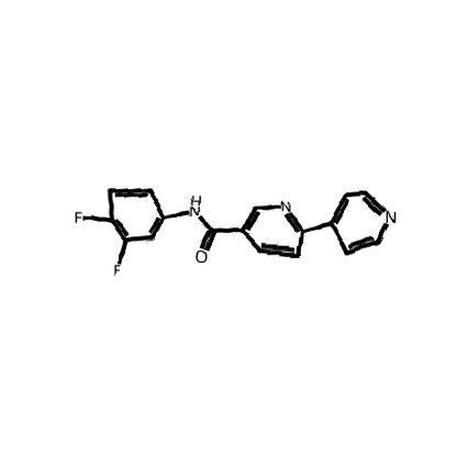 O=C(Nc1ccc(F)c(F)c1)c1ccc(-c2ccncc2)nc1